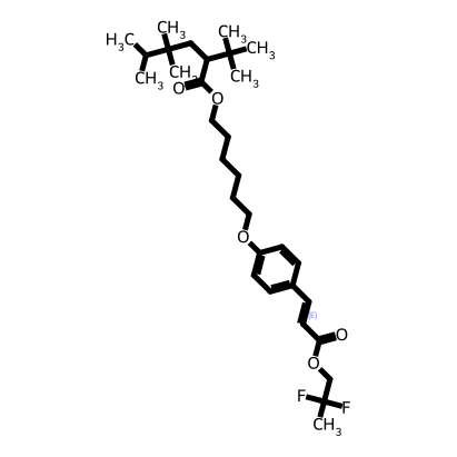 CC(C)C(C)(C)CC(C(=O)OCCCCCCOc1ccc(/C=C/C(=O)OCC(C)(F)F)cc1)C(C)(C)C